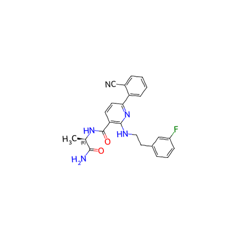 C[C@@H](NC(=O)c1ccc(-c2ccccc2C#N)nc1NCCc1cccc(F)c1)C(N)=O